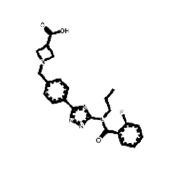 CCCN(C(=O)c1ccccc1F)c1nnc(-c2ccc(CN3CC(C(=O)O)C3)cc2)s1